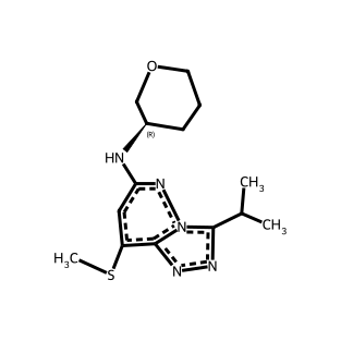 CSc1cc(N[C@@H]2CCCOC2)nn2c(C(C)C)nnc12